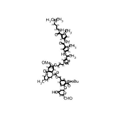 C=C1CC2CN(C(=O)OCc3ccc(O[C@H]4C[C@@H](O)C[C@@H](C=O)O4)c(C(=O)NCCCC)c3)c3cc(OCCCn4cc(C(=C)Nc5cc(C(=O)Nc6cc(C(=O)NCCCN(C)C)n(C)c6)n(C)c5)nn4)c(OC)cc3C(=O)N2C1